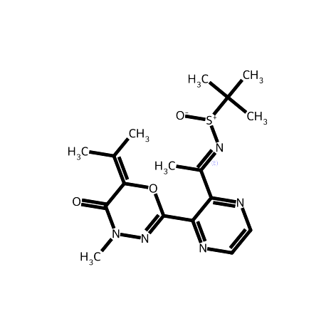 CC(C)=C1OC(c2nccnc2/C(C)=N/[S+]([O-])C(C)(C)C)=NN(C)C1=O